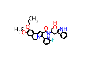 C=CCOc1cc2c(cc1OC)CCn1c-2cc(C(=O)NC(CO)Cc2c[nH]c3ccccc23)c1-c1cccc(F)c1